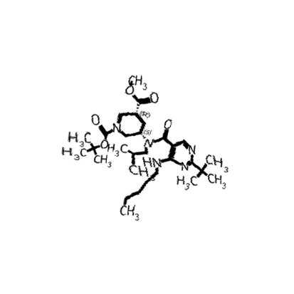 CCCCCNc1nc(C(C)(C)C)ncc1C(=O)N(CC(C)C)[C@H]1C[C@@H](C(=O)OC)CN(C(=O)OC(C)(C)C)C1